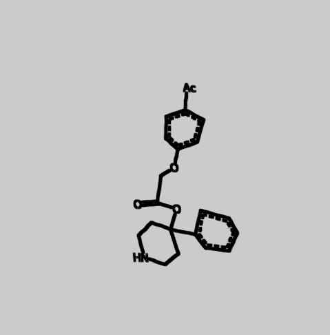 CC(=O)c1ccc(OCC(=O)OC2(c3ccccc3)CCNCC2)cc1